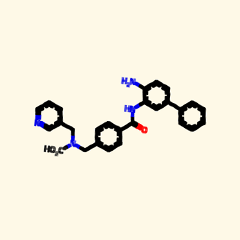 Nc1ccc(-c2ccccc2)cc1NC(=O)c1ccc(CN(Cc2cccnc2)C(=O)O)cc1